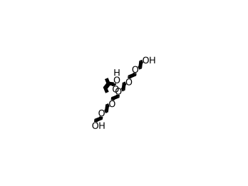 CC=C(C)C(=O)O.OCCOCCOCCOCCOCCOCCO